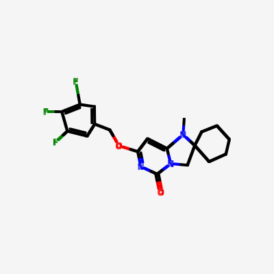 CN1c2cc(OCc3cc(F)c(F)c(F)c3)nc(=O)n2CC12CCCCC2